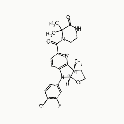 CC1(C)C(=O)NCCN1C(=O)c1ccc2c(n1)[C@]1(C)CCO[C@@H]1N2c1ccc(Cl)c(F)c1